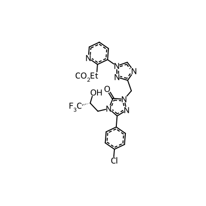 CCOC(=O)c1ncccc1-n1cnc(Cn2nc(-c3ccc(Cl)cc3)n(C[C@@H](O)C(F)(F)F)c2=O)n1